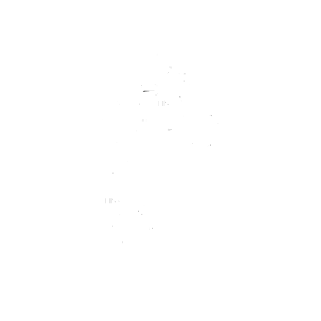 COc1ccc(NCCCOc2ccc(C[C@H](NC(=O)c3c(Cl)cccc3Cl)C(=O)O)cc2)nc1